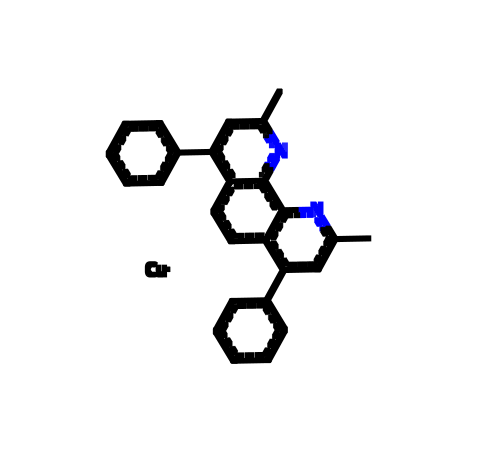 Cc1cc(-c2ccccc2)c2ccc3c(-c4ccccc4)cc(C)nc3c2n1.[Cu]